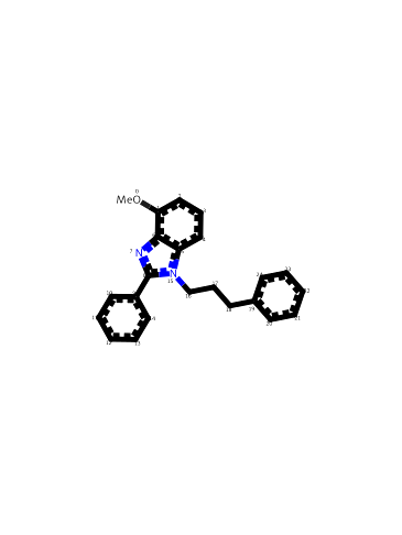 COc1cccc2c1nc(-c1ccccc1)n2CCCc1ccccc1